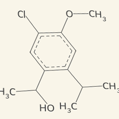 COc1cc(C(C)C)c(C(C)O)cc1Cl